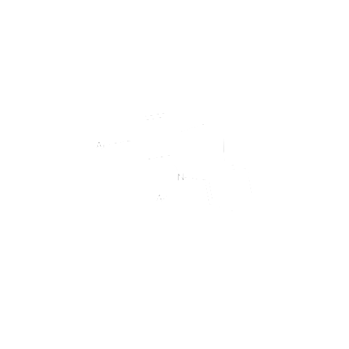 CC(=O)c1ccc2c(c1)N(C(C)=O)c1ccccc1CC2